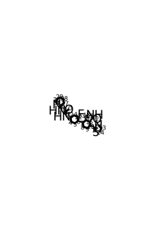 O=C(Nc1ccc(-c2ccc(-c3nccs3)c3c2CNC3=O)c(F)c1)Nc1ccccn1